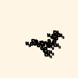 CC(C)CC(=O)Oc1ccc(C[C@H](N)C(=O)O[C@@H](C)COC(=O)OC(C)C(C)C)cc1OC(=O)CC(C)C